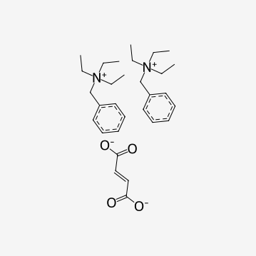 CC[N+](CC)(CC)Cc1ccccc1.CC[N+](CC)(CC)Cc1ccccc1.O=C([O-])C=CC(=O)[O-]